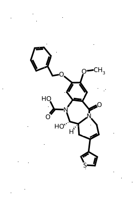 COc1cc2c(cc1OCc1ccccc1)N(C(=O)O)[C@@H](O)[C@@H]1CC(c3ccsc3)=CCN1C2=O